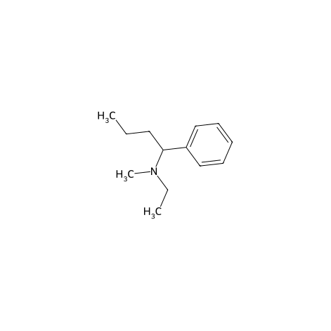 CCCC(c1ccccc1)N(C)CC